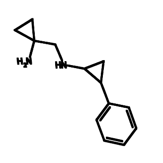 NC1(CNC2CC2c2ccccc2)CC1